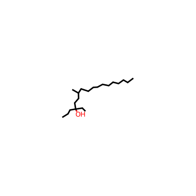 CCCCCCCCCCCC(C)CCC(O)(CC)CCC